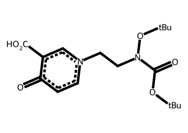 CC(C)(C)OC(=O)N(CCn1ccc(=O)c(C(=O)O)c1)OC(C)(C)C